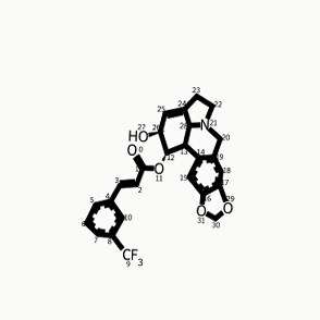 O=C(/C=C/c1cccc(C(F)(F)F)c1)O[C@H]1C2c3cc4c(cc3CN3CCC(=C[C@@H]1O)C23)OCO4